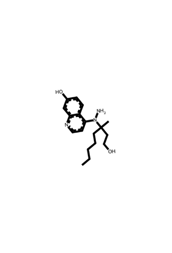 CCCCCC(C)(CCO)N(N)c1ccnc2cc(O)ccc12